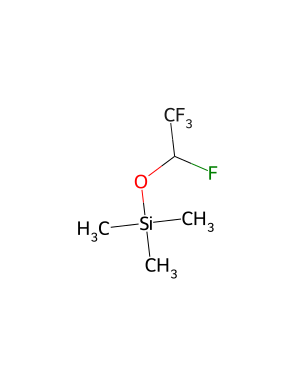 C[Si](C)(C)OC(F)C(F)(F)F